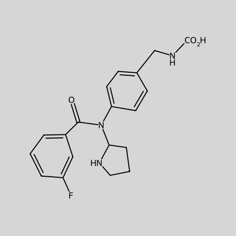 O=C(O)NCc1ccc(N(C(=O)c2cccc(F)c2)C2CCCN2)cc1